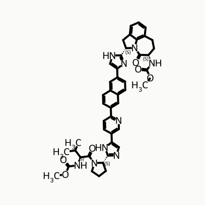 COC(=O)N[C@H]1CCc2cccc3c2N(C1=O)[C@H](c1nc(-c2ccc4cc(-c5ccc(-c6cnc([C@@H]7CCCN7C(=O)[C@@H](NC(=O)OC)C(C)C)[nH]6)cn5)ccc4c2)c[nH]1)C3